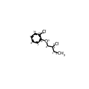 CCC(Cl)COc1ccccc1Cl